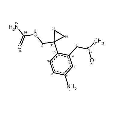 C[S+]([O-])Cc1cc(N)ccc1C1(COC(N)=O)CC1